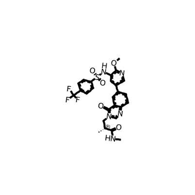 CNC(=O)[C@H](C)Cn1cnc2ccc(-c3cnc(OC)c(NS(=O)(=O)c4ccc(C(F)(F)F)cc4)c3)cc2c1=O